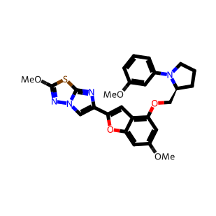 COc1cccc(N2CCC[C@H]2COc2cc(OC)cc3oc(-c4cn5nc(OC)sc5n4)cc23)c1